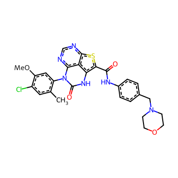 COc1cc(N2C(=O)Nc3c(C(=O)Nc4ccc(CN5CCOCC5)cc4)sc4ncnc2c34)c(C)cc1Cl